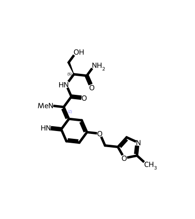 CN/C(C(=O)N[C@@H](CO)C(N)=O)=C1/C=C(OCc2cnc(C)o2)C=CC1=N